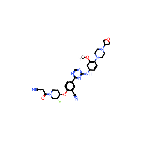 COC1=C(N2CCN(C3COC3)CC2)C=CC(Nc2ncnc(-c3ccc(O[C@H]4CCN(C(=O)CC#N)C[C@H]4F)c(C#N)c3)n2)C1